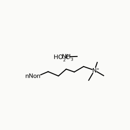 CC(=O)O.CCCCCCCCCCCCCC[N+](C)(C)C.N